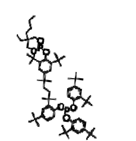 CCCCC1(CC)COP(Oc2c(C(C)(C)C)cc(C(C)(C)CCC(C)(C)c3cc(C(C)(C)C)ccc3OP(Oc3ccc(C(C)(C)C)cc3C(C)(C)C)Oc3ccc(C(C)(C)C)cc3C(C)(C)C)cc2C(C)(C)C)OC1